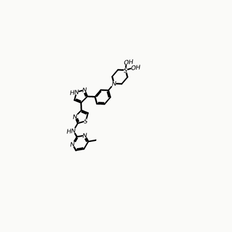 Cc1ccnc(Nc2nc(-c3c[nH]nc3-c3cccc(N4CCS(O)(O)CC4)c3)cs2)n1